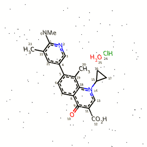 CNc1ncc(-c2ccc3c(=O)c(C(=O)O)cn(C4CC4)c3c2C)cc1C.Cl.O